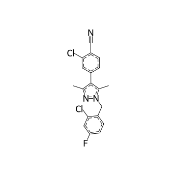 Cc1nn(Cc2ccc(F)cc2Cl)c(C)c1-c1ccc(C#N)c(Cl)c1